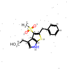 CS(=O)(=O)c1c(Cc2ccccc2)sc2[nH]cc(CC(=O)O)c12